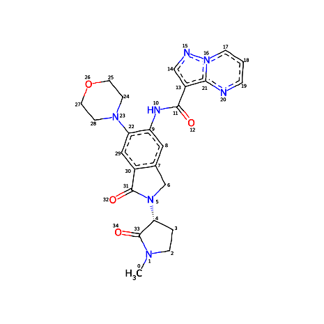 CN1CC[C@@H](N2Cc3cc(NC(=O)c4cnn5cccnc45)c(N4CCOCC4)cc3C2=O)C1=O